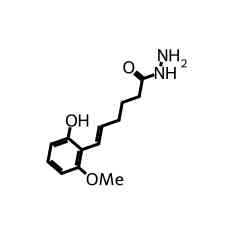 COc1cccc(O)c1/C=C/CCCC(=O)NN